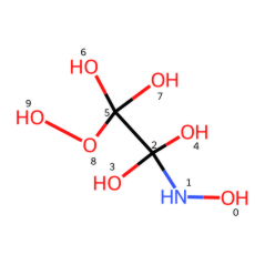 ONC(O)(O)C(O)(O)OO